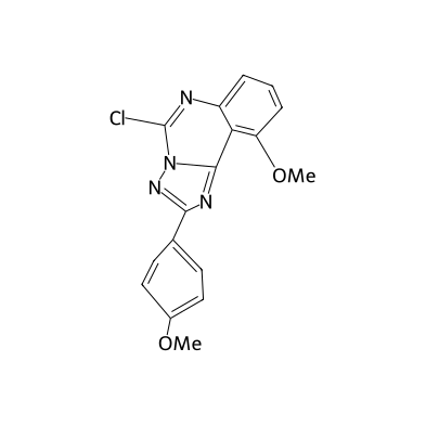 COc1ccc(-c2nc3c4c(OC)cccc4nc(Cl)n3n2)cc1